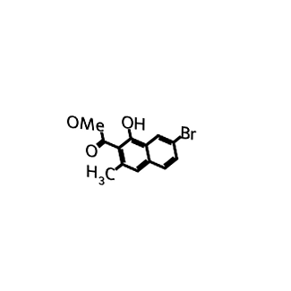 COC(=O)c1c(C)cc2ccc(Br)cc2c1O